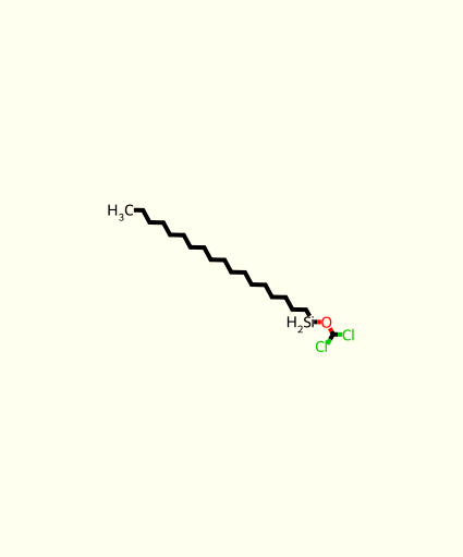 CCCCCCCCCCCCCCCCCC[SiH2]OC(Cl)Cl